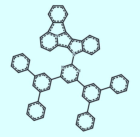 c1ccc(-c2cc(-c3ccccc3)cc(-c3cc(-c4cc(-c5ccccc5)cc(-c5ccccc5)c4)nc(-n4c5ccccc5c5c4c4cccc6c7ccccc7c5n64)n3)c2)cc1